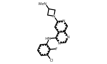 CNC1CN(c2cc3c(Nc4cccc(Cl)c4F)ncnc3cn2)C1